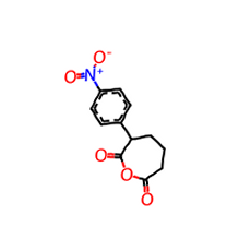 O=C1CCCC(c2ccc([N+](=O)[O-])cc2)C(=O)O1